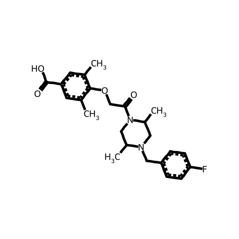 Cc1cc(C(=O)O)cc(C)c1OCC(=O)N1CC(C)N(Cc2ccc(F)cc2)CC1C